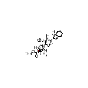 C[C@H]1[C@H]2CN(C(=O)[C@@H](NC(=O)c3cc4ccccc4[nH]3)C(C)(C)C)[C@@H]1CN2C(=O)OC(C)(C)C